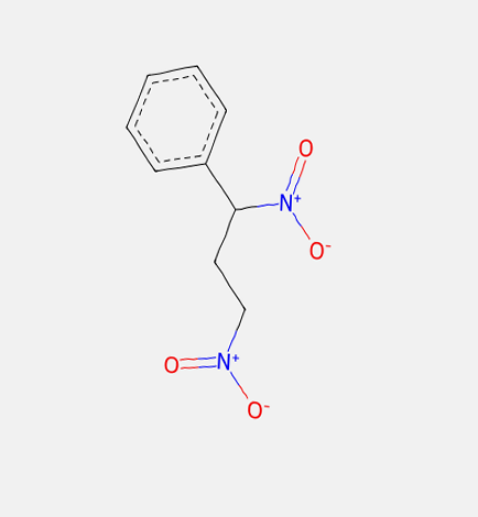 O=[N+]([O-])CCC(c1ccccc1)[N+](=O)[O-]